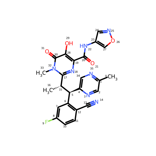 Cc1cnc([C@@H](c2cc(F)ccc2C#N)[C@H](C)c2nc(C(=O)Nc3cnoc3)c(O)c(=O)n2C)cn1